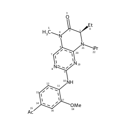 CC[C@@H]1C(=O)N(C)c2cnc(Nc3ccc(C(C)=O)cc3OC)nc2N1C(C)C